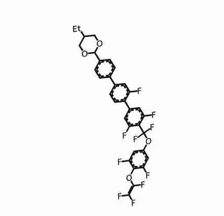 CCC1COC(c2ccc(-c3ccc(-c4cc(F)c(C(F)(F)Oc5cc(F)c(OC(F)=C(F)F)c(F)c5)c(F)c4)c(F)c3)cc2)OC1